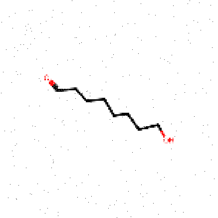 O=[C]CCCCCCCO